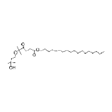 CCCCCCCCCCCCCCCCCCOC(=O)CCC(=O)C(C)(C)OCCC(C)(C)O